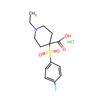 CCN1CCC(C(=O)O)(S(=O)(=O)c2ccc(F)cc2)CC1.Cl